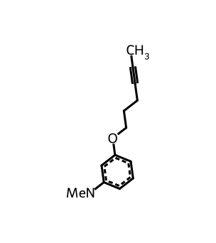 CC#CCCCOc1cccc(NC)c1